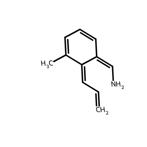 C=C/C=c1/c(C)ccc/c1=C/N